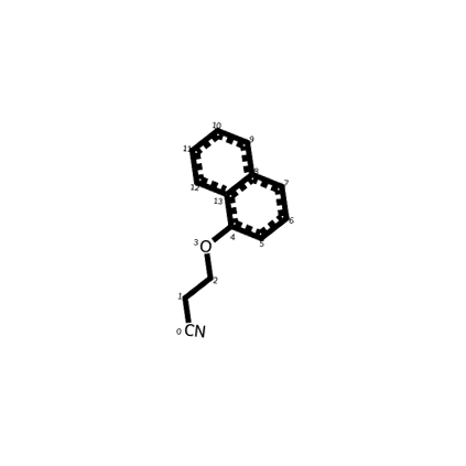 N#CCCOc1cccc2ccccc12